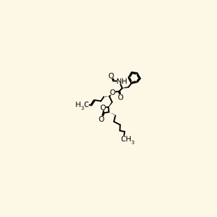 C/C=C/CC[C@@H](C[C@@H]1OC(=O)[C@H]1CCCCCC)OC(=O)[C@H](Cc1ccccc1)NC=O